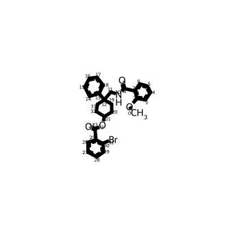 COc1ccccc1C(=O)NCC1(c2ccccc2)CCC(OC(=O)c2ccccc2Br)CC1